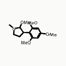 COc1cc(OC)c(C2CCN(C)C2OC)c(OC)c1